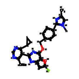 COc1ncnc(C2CC2)c1-c1nc(OCc2ccc(-c3nc(C(F)(F)F)cn3C)cc2)c2oc(F)cc2n1